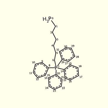 PCCCCCCP(c1ccccc1)(c1ccccc1)(c1ccccc1)c1ccccc1